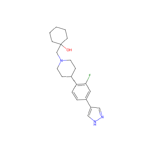 OC1(CN2CCC(c3ccc(-c4cn[nH]c4)cc3F)CC2)CCCCC1